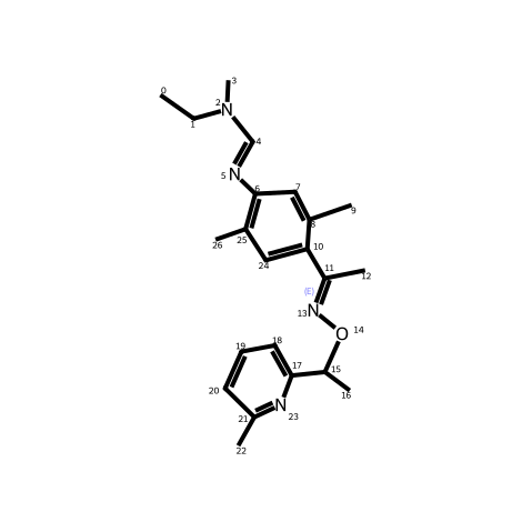 CCN(C)C=Nc1cc(C)c(/C(C)=N/OC(C)c2cccc(C)n2)cc1C